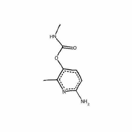 CNC(=O)Oc1ccc(N)nc1C